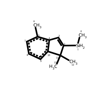 C[SiH2]C1=Cc2c(C)cccc2C1(C)C